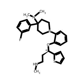 CNCC[C@@H](Oc1ccccc1N1CCC(c2cccc(F)c2)(N(C)C)CC1)c1cccs1